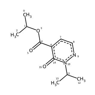 CC(C)OC(=O)c1ccnn(C(C)C)c1=O